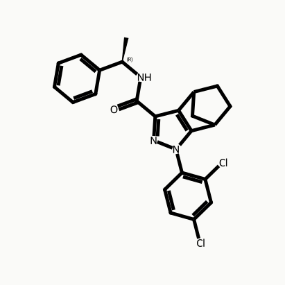 C[C@@H](NC(=O)c1nn(-c2ccc(Cl)cc2Cl)c2c1C1CCC2C1)c1ccccc1